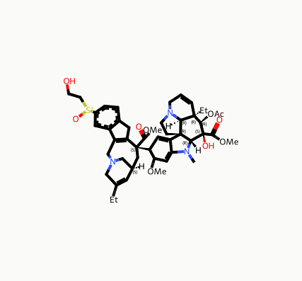 CCC1=C[C@H]2CN(C1)CC1=C(Cc3ccc([S+]([O-])CCO)cc31)[C@@](C(=O)OC)(C1C=C3C(=CC1OC)N(C)[C@H]1[C@@](O)(C(=O)OC)[C@H](OC(C)=O)[C@]4(CC)C=CCN5CC[C@]31[C@@H]54)C2